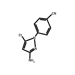 CCc1cc(N)nn1-c1ccc(C#N)cc1